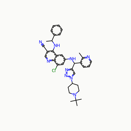 Cc1ncccc1C(Nc1cc(Cl)c2ncc(C#N)c(NC(C)c3ccccc3)c2c1)c1cn(C2CCN(C(C)(C)C)CC2)nn1